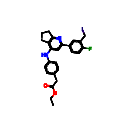 CCOC(=O)Cc1ccc(Nc2cc(-c3ccc(F)c(CI)c3)nc3c2CCC3)cc1